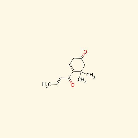 CC=CC(=O)C1=CCC(=O)CC1(C)C